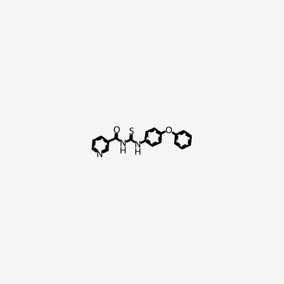 O=C(NC(=S)Nc1ccc(Oc2ccccc2)cc1)c1cccnc1